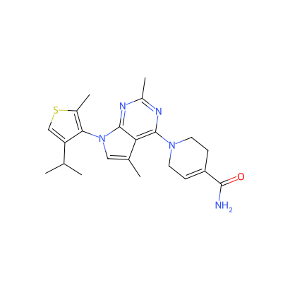 Cc1nc(N2CC=C(C(N)=O)CC2)c2c(C)cn(-c3c(C(C)C)csc3C)c2n1